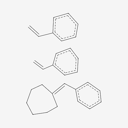 C(=C1CCCCCC1)c1ccccc1.C=Cc1ccccc1.C=Cc1ccccc1